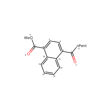 CCCCCC(=O)c1ccc(C(=O)OC)c2ccccc12